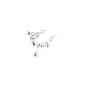 CCS(=O)(=O)c1ccc(CNC(=O)c2ccc(N3CC(c4ccc(C(F)(F)F)cc4)C[C@H]3[C@@H](C)O)cc2)cc1.CCS(=O)(=O)c1ccc(Cc2cc(N3CC(c4ccc(C(F)(F)F)cc4)C[C@H]3[C@H](C)O)ccc2C(N)=O)cc1